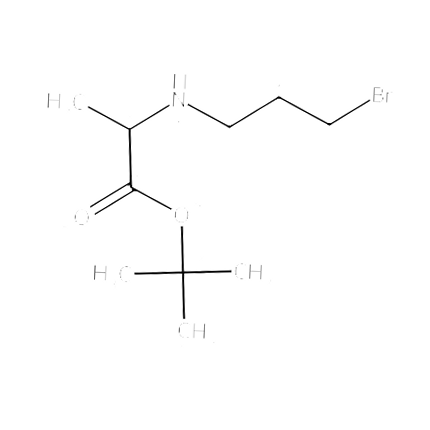 CC(NCCCBr)C(=O)OC(C)(C)C